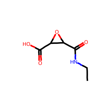 CCNC(=O)C1OC1C(=O)O